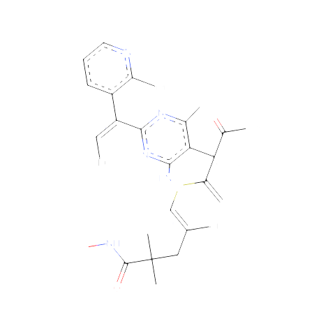 C=C(S/C=C(\CC)CC(C)(C)C(=O)NO)[C@](C)(C(=O)CCC)c1c(C)nc(/C(=C\CC)c2cccnc2C(C)C)nc1N